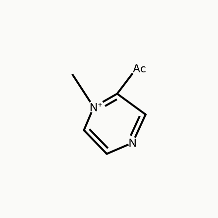 CC(=O)c1cncc[n+]1C